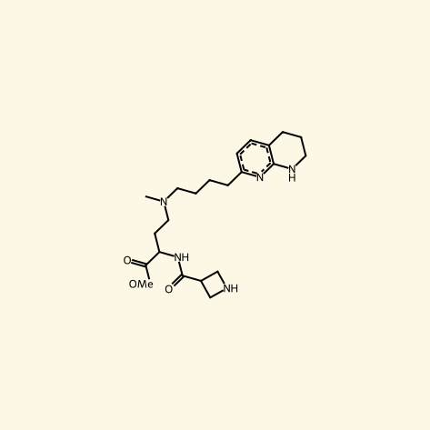 COC(=O)C(CCN(C)CCCCc1ccc2c(n1)NCCC2)NC(=O)C1CNC1